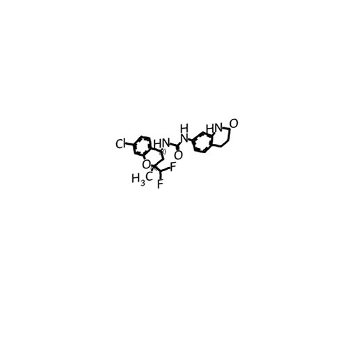 C[C@]1(C(F)F)C[C@@H](NC(=O)Nc2ccc3c(c2)NC(=O)CC3)c2ccc(Cl)cc2O1